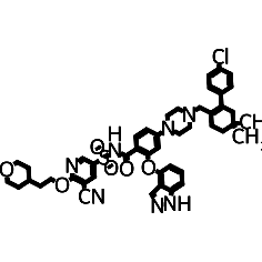 CC1(C)CCC(CN2CCN(c3ccc(C(=O)NS(=O)(=O)c4cnc(OCCC5CCOCC5)c(C#N)c4)c(Oc4cccc5[nH]ncc45)c3)CC2)=C(c2ccc(Cl)cc2)C1